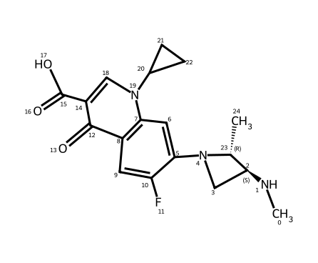 CN[C@H]1CN(c2cc3c(cc2F)c(=O)c(C(=O)O)cn3C2CC2)[C@@H]1C